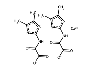 Cc1nc(NC(=O)C(=O)[O-])sc1C.Cc1nc(NC(=O)C(=O)[O-])sc1C.[Ca+2]